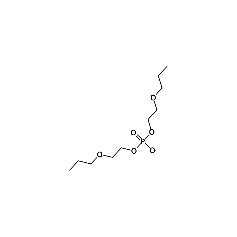 CCCOCCOP([O])(=O)OCCOCCC